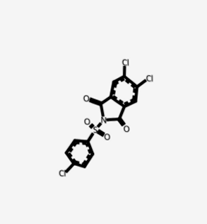 O=C1c2cc(Cl)c(Cl)cc2C(=O)N1S(=O)(=O)c1ccc(Cl)cc1